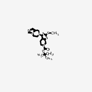 CSc1nc2c(c(N3CCn4cncc4C3)n1)CCN(C(=O)OC(C)(C)C)C2